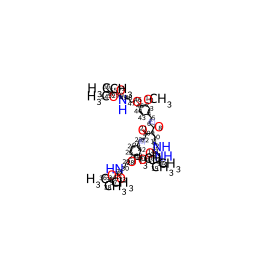 COc1cc(/C=C/C(=O)C(CCNC(=O)NC(C)(C)C)C(=O)/C=C/c2ccc(OCCNC(=O)OC(C)(C)C)c(OC)c2)ccc1OCCNC(=O)OC(C)(C)C